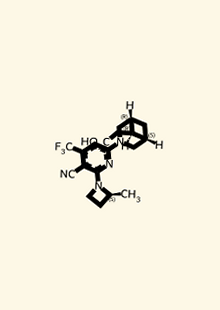 C[C@H]1CCN1c1nc(N2C[C@H]3C[C@@H](C2)[C@@H]3CC(=O)O)cc(C(F)(F)F)c1C#N